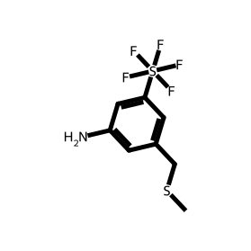 CSCc1cc(N)cc(S(F)(F)(F)(F)F)c1